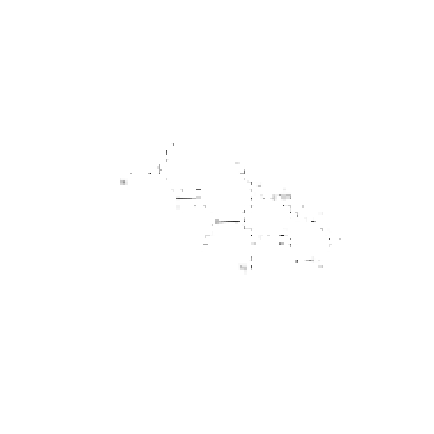 CC(=O)NNC(=O)c1c(O)c2ccccc2[nH]c1=O